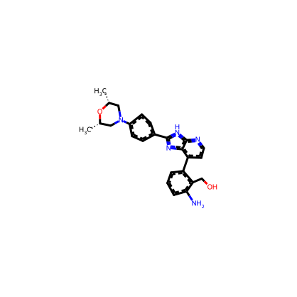 C[C@@H]1CN(c2ccc(-c3nc4c(-c5cccc(N)c5CO)ccnc4[nH]3)cc2)C[C@H](C)O1